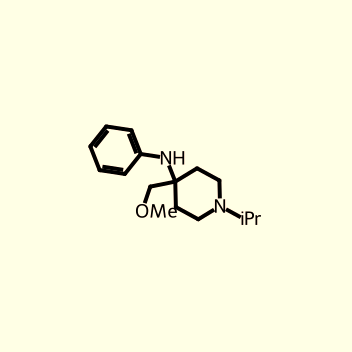 COCC1(Nc2ccccc2)CCN(C(C)C)CC1